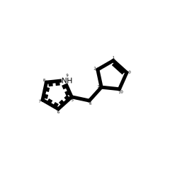 C1=CCC(Cc2ccc[nH]2)C1